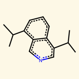 CC(C)c1cncc2c(C(C)C)cccc12